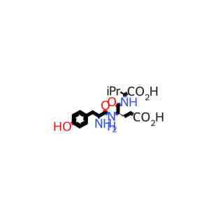 CC(C)[C@H](NC(=O)[C@H](CCC(=O)O)NC(=O)[C@@H](N)Cc1ccc(O)cc1)C(=O)O